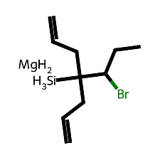 C=CCC([SiH3])(CC=C)C(Br)CC.[MgH2]